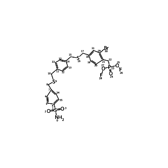 NS(=O)(=O)c1ccc(CSCc2ccc(CSCc3ccc(CP(=O)(OF)OF)c(Br)c3)cc2)cc1